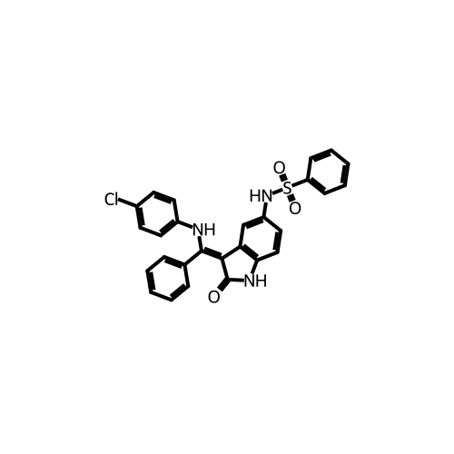 O=C1Nc2ccc(NS(=O)(=O)c3ccccc3)cc2/C1=C(\Nc1ccc(Cl)cc1)c1ccccc1